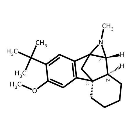 COc1cc2c(cc1C(C)(C)C)C13C[C@]24CCCC[C@@H]4[C@H]1N3C